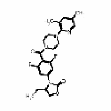 CC[C@@H]1COC(=O)N1c1cc(F)c(C(=O)N2CCN(c3ncc(C)cc3C)CC2)c(F)c1